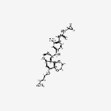 CSCCOc1cc2ncnc(Nc3ccc(NC(=O)NC4CC4)c(Cl)c3)c2c2c1OCCO2